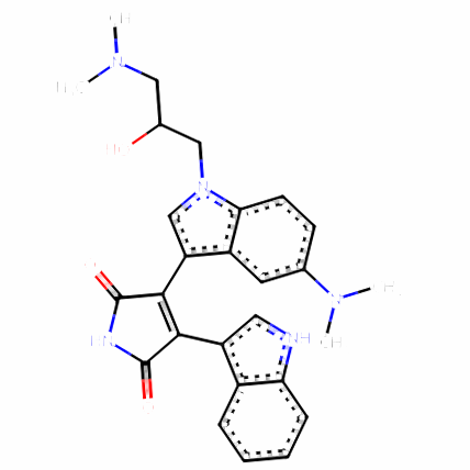 CN(C)CC(O)Cn1cc(C2=C(c3c[nH]c4ccccc34)C(=O)NC2=O)c2cc(N(C)C)ccc21